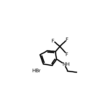 Br.CCNc1ccccc1C(F)(F)F